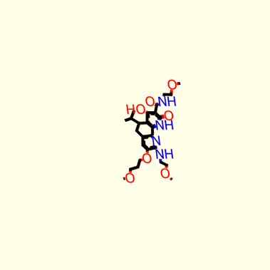 COCCCOc1cc2c(nc1NCCOC)-c1[nH]c(=O)c(C(=O)NCCOC)c(O)c1C(C(C)C)C2